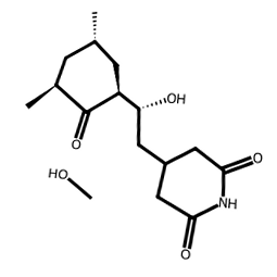 CO.C[C@@H]1C[C@@H]([C@H](O)CC2CC(=O)NC(=O)C2)C(=O)[C@@H](C)C1